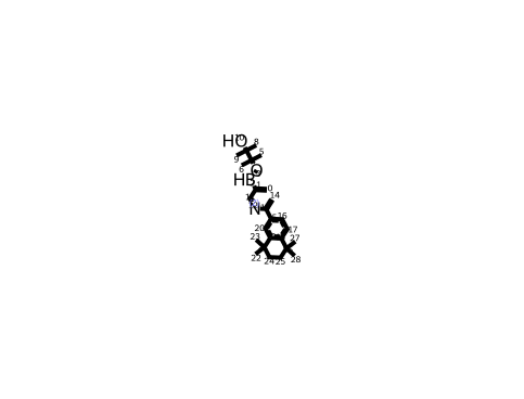 C=C(BOC(C)(C)C(C)(C)O)/C=N\C(=C)c1ccc2c(c1)C(C)(C)CCC2(C)C